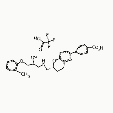 Cc1ccccc1OCC(O)CNC[C@H]1CCc2cc(-c3ccc(C(=O)O)cc3)ccc2O1.O=C(O)C(F)(F)F